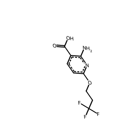 Nc1nc(OCCC(F)(F)F)ccc1C(=O)O